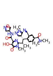 C[C@H](c1nc(C(=O)Nc2cnoc2)c(O)c(=O)n1C)[C@H](c1cnn(C)c1)c1ccc(C(=O)N(C)C)cc1C#N